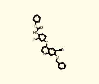 N#Cc1cc2c(Oc3ccc(NC(=O)Oc4ccccc4)c(F)c3)ccnc2cc1OCc1ccccc1